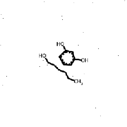 CCCCCCO.Oc1cccc(O)c1